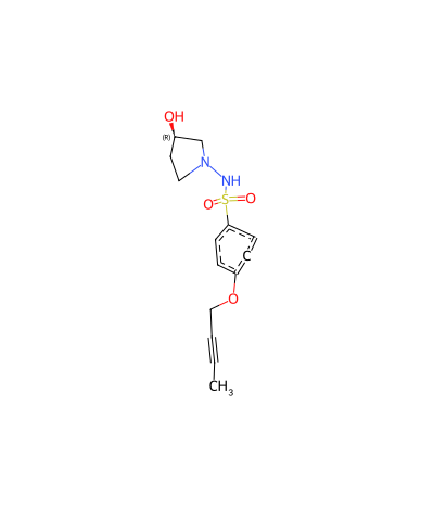 CC#CCOc1ccc(S(=O)(=O)NN2CC[C@@H](O)C2)cc1